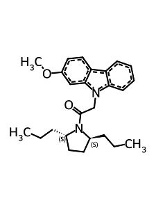 CCC[C@H]1CC[C@H](CCC)N1C(=O)Cn1c2ccccc2c2ccc(OC)cc21